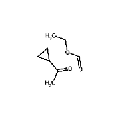 CC(=O)C1CC1.CCOC=O